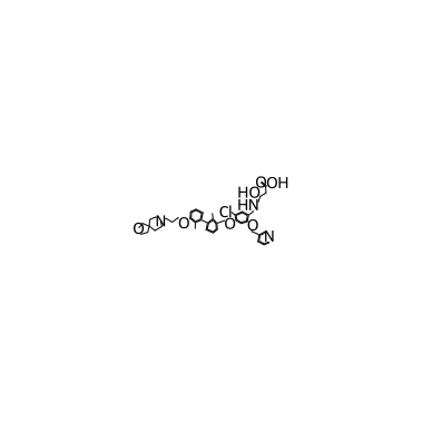 Cc1c(COc2cc(OCc3cccnc3)c(CNC[C@@H](O)CC(=O)O)cc2Cl)cccc1-c1cccc(OCCCN2CCC3(CCOC3)CC2)c1C